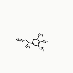 CNC[C@H](O)c1cc(O)c(O)c(C(F)(F)F)c1